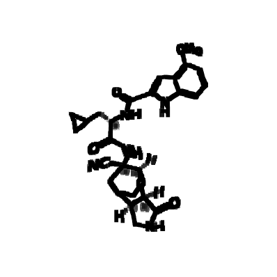 COc1cccc2[nH]c(C(=O)N[C@@H](CC3CC3)C(=O)N[C@@]3(C#N)CC4CC[C@H]3C[C@H]3C(=O)NC[C@@H]43)cc12